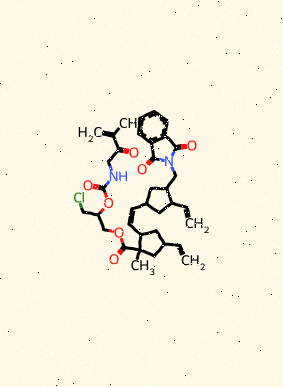 C=CC1CC(/C=C\C2CC(C=C)C(CN3C(=O)c4ccccc4C3=O)C2)C(C)(C(=O)OCC(CCl)OC(=O)NCC(=O)C(=C)C)C1